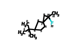 CC(C)(C)C1CCC2(C1)CC2(C)F